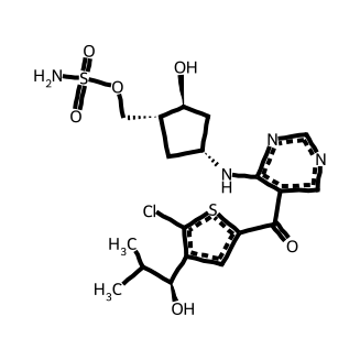 CC(C)[C@H](O)c1cc(C(=O)c2cncnc2N[C@@H]2C[C@H](COS(N)(=O)=O)[C@@H](O)C2)sc1Cl